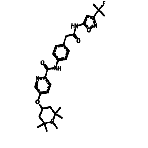 CN1C(C)(C)CC(Oc2ccc(C(=O)Nc3ccc(CC(=O)Nc4cc(C(C)(C)F)no4)cc3)nc2)CC1(C)C